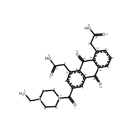 CCN1CCN(C(=O)c2cc(CC(=O)O)c3c(c2)C(=O)c2cccc(CC(=O)O)c2C3=O)CC1